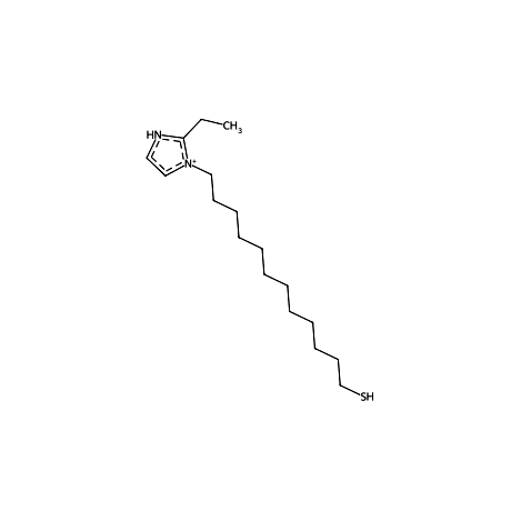 CCc1[nH]cc[n+]1CCCCCCCCCCCCS